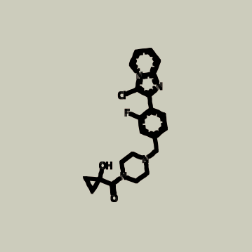 O=C(N1CCN(Cc2ccc(-c3nc4ccccn4c3Cl)c(F)c2)CC1)C1(O)CC1